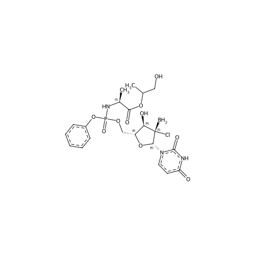 B[C@]1(Cl)[C@H](O)[C@@H](COP(=O)(N[C@@H](C)C(=O)OC(C)CO)Oc2ccccc2)O[C@H]1n1ccc(=O)[nH]c1=O